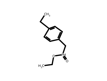 CCO[PH](=O)Cc1ccc(CC)cc1